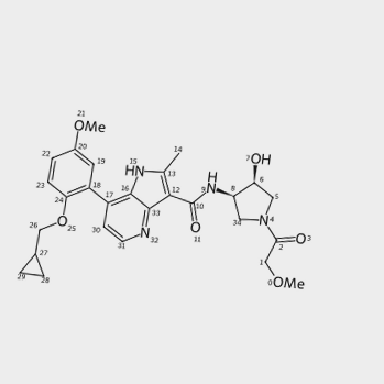 COCC(=O)N1C[C@H](O)[C@H](NC(=O)c2c(C)[nH]c3c(-c4cc(OC)ccc4OCC4CC4)ccnc23)C1